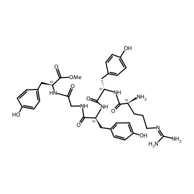 COC(=O)[C@H](Cc1ccc(O)cc1)NC(=O)CNC(=O)[C@H](Cc1ccc(O)cc1)NC(=O)[C@H](Cc1ccc(O)cc1)NC(=O)[C@@H](N)CCCN=C(N)N